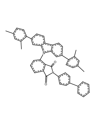 Cc1ccc(-c2ccc3c4ccc(-c5ccc(C)cc5C)cc4n(-c4cccc5c4C(=O)N(c4ccc(-c6ccccc6)cc4)C5=O)c3c2)c(C)c1